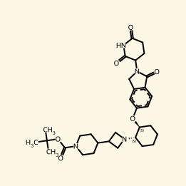 CC(C)(C)OC(=O)N1CCC(C2CN([C@H]3CCCC[C@@H]3Oc3ccc4c(c3)CN(C3CCC(=O)NC3=O)C4=O)C2)CC1